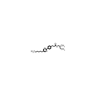 CCCCCCc1cnc(-c2ccc(CCC(=O)OC[C@H](C)CC)cc2)nc1